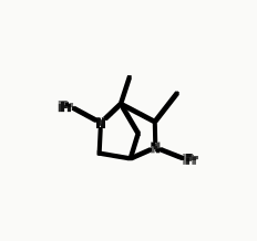 CC(C)N1C2CN(C(C)C)C(C)(C2)C1C